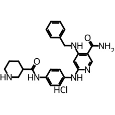 Cl.NC(=O)c1cnc(Nc2ccc(NC(=O)C3CCCNC3)cc2)cc1NCc1ccccc1